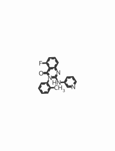 Cc1ccccc1-n1c(Nc2cccnc2)nc2cccc(F)c2c1=O